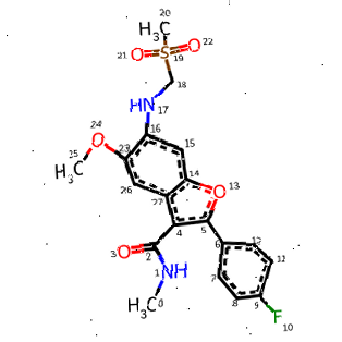 CNC(=O)c1c(-c2ccc(F)cc2)oc2cc(NCS(C)(=O)=O)c(OC)cc12